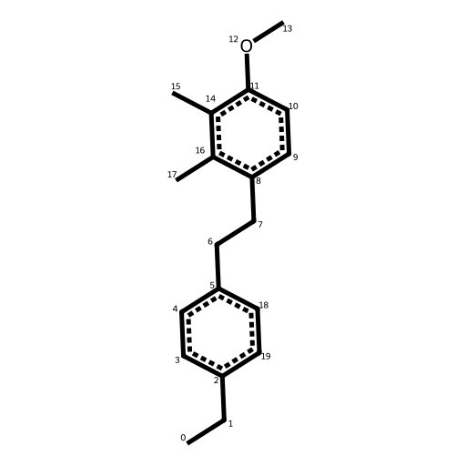 CCc1ccc(CCc2ccc(OC)c(C)c2C)cc1